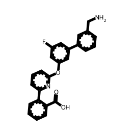 NCc1cccc(-c2cc(F)cc(Oc3cccc(-c4ccccc4C(=O)O)n3)c2)c1